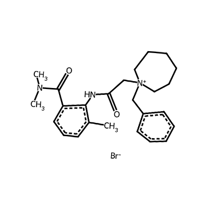 Cc1cccc(C(=O)N(C)C)c1NC(=O)C[N+]1(Cc2ccccc2)CCCCCC1.[Br-]